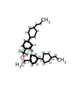 CCCC1CCC(c2ccc(C(F)(F)OC(C)c3ccc(C4CCC(CC)CC4)cc3)c(F)c2)CC1